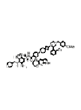 COc1ccc(CN2CCN(C3CC4(CCN(c5ccc(C(=O)NS(=O)(=O)c6cc(N)c(NCC7CCOCC7)c7[nH]cnc67)c(N6CCCOc7nc8[nH]ccc8cc76)c5)CC4)C3)C(c3ccccc3C(C)C)C2)cc1